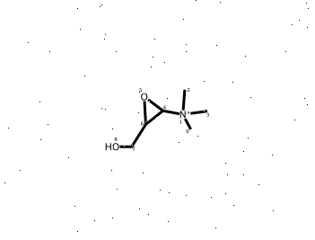 C[N+](C)(C)C1OC1CO